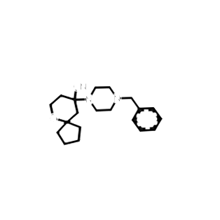 N#CC1(N2CCN(Cc3ccccc3)CC2)CCOC2(CCCC2)C1